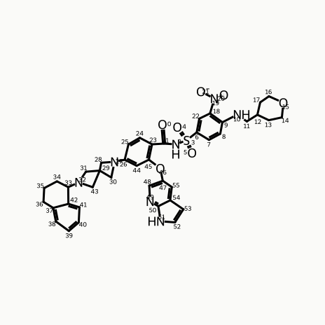 O=C(NS(=O)(=O)c1ccc(NCC2CCOCC2)c([N+](=O)[O-])c1)c1ccc(N2CC3(C2)CN(C2CCCc4ccccc42)C3)cc1Oc1cnc2[nH]ccc2c1